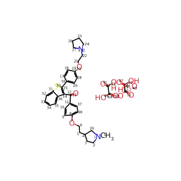 CN1CCC(CCOc2ccc(C(=O)c3c(-c4ccc(OCCN5CCCC5)cc4)sc4ccccc34)cc2)C1.O.O=C(O)C(=O)O.O=C(O)C(=O)O